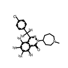 [2H]c1c([2H])c([2H])c2c(=O)n(C3CCCN(C)CC3)nc(C([2H])([2H])c3ccc(Cl)cc3)c2c1[2H]